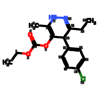 CCOC(=O)OC1=C(C)NN=C(CC)C1c1ccc(Cl)cc1